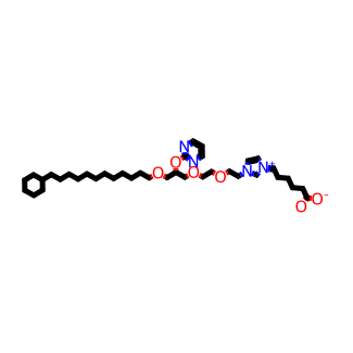 O=C([O-])CCCCC=[N+]1C=CN(CCOCCOCC(COCCCCCCCCCCCCC2CCCCC2)Oc2ncccn2)C1